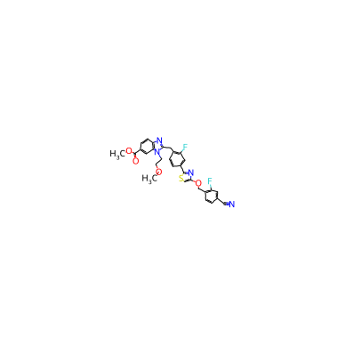 COCCn1c(Cc2ccc(-c3nc(OCc4ccc(C#N)cc4F)cs3)cc2F)nc2ccc(C(=O)OC)cc21